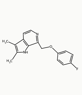 Cc1[nH]c2c(COc3ccc(F)cc3)nccc2c1C